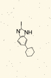 Ic1nc2ccc(C3CCCCC3)cc2[nH]1